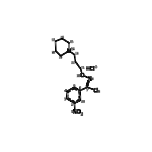 Cl.O=[N+]([O-])c1cccc(/C(Cl)=N\OCCCN2CCCCC2)c1